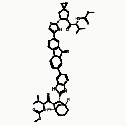 COC(=O)N[C@H](C(=O)N1[C@@H]2CCC[C@@H](C2)[C@H]1c1nc2ccc(C3=CC4C(=O)c5cc(-c6cnc([C@@H]7CC8(CC8)CN7C(=O)[C@H](NC(=O)OC)C(C)C)[nH]6)ccc5C4C=C3)cc2[nH]1)C(C)C